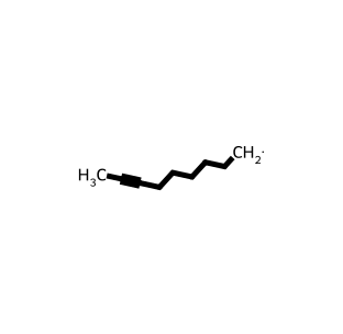 [CH2]CCCCCC#CC